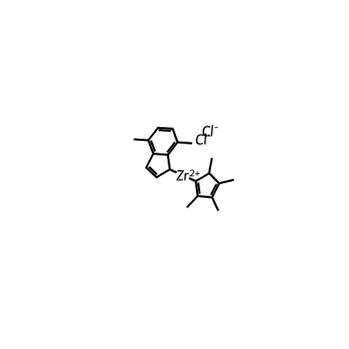 CC1=C(C)C(C)[C]([Zr+2][CH]2C=Cc3c(C)ccc(C)c32)=C1C.[Cl-].[Cl-]